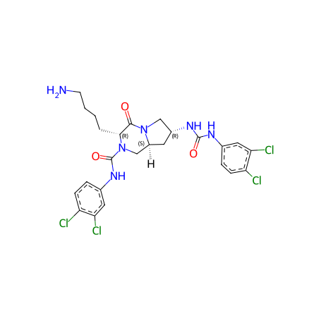 NCCCC[C@@H]1C(=O)N2C[C@H](NC(=O)Nc3ccc(Cl)c(Cl)c3)C[C@H]2CN1C(=O)Nc1ccc(Cl)c(Cl)c1